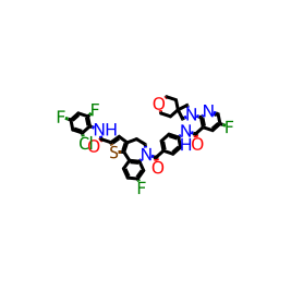 O=C(Nc1c(F)cc(F)cc1Cl)c1cc2c(s1)-c1ccc(F)cc1N(C(=O)c1ccc(NC(=O)c3cc(F)cnc3N3CC4(CCOCC4)C3)cc1)CC2